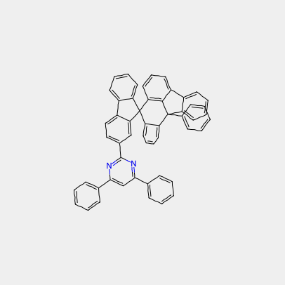 c1ccc(-c2cc(-c3ccccc3)nc(-c3ccc4c(c3)C3(c5ccccc5-4)c4ccccc4C4(c5ccccc5)c5ccccc5-c5cccc3c54)n2)cc1